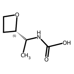 CC(NC(=O)O)[C@@H]1CCO1